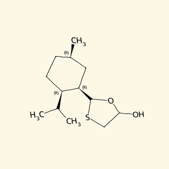 CC(C)[C@H]1CC[C@@H](C)C[C@H]1C1OC(O)CS1